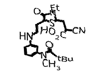 CCN1C(=O)C(CCNc2cccc(N(C)C(=O)C(C)(C)C)c2)SC1CC(C#N)C(=O)O